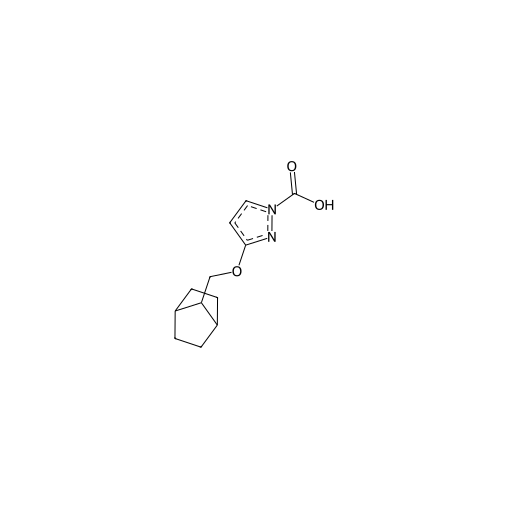 O=C(O)n1ccc(OCC2C3CCC2CC3)n1